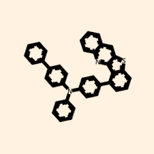 c1ccc(-c2ccc(N(c3ccccc3)c3ccc(-c4cccc5sc6cc7ccccc7nc6c45)cc3)cc2)cc1